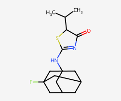 CC(C)C1SC(NC23CC4CC(CC(F)(C4)C2)C3)=NC1=O